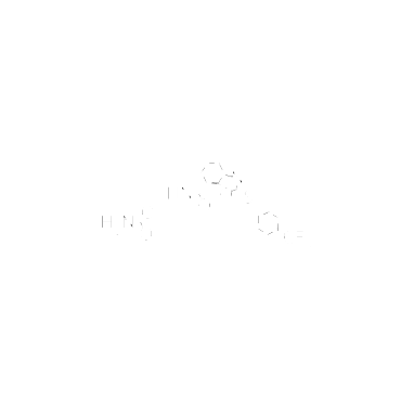 NC(=O)OCCCNC(=O)c1cccc2nc(SCc3ccc(C(F)(F)F)cc3)oc12